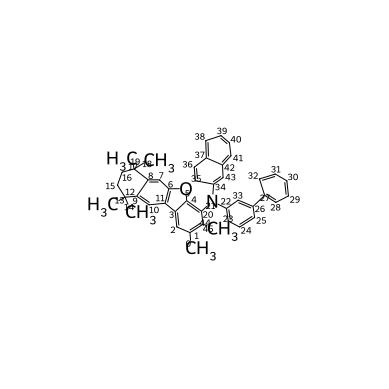 Cc1cc2c(oc3cc4c(cc32)C(C)(C)CCC4(C)C)c(N(c2cccc(-c3ccccc3)c2)c2ccc3ccccc3c2)c1C